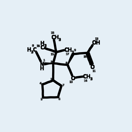 CN[C@](C1CCCC1)([C@@H](CC(=O)O)OC)C(C)(C)C